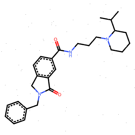 CC(C)C1CCCCN1CCCNC(=O)c1ccc2c(c1)C(=O)N(Cc1ccccc1)C2